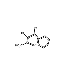 CC(C)c1c(O)c(C(=O)O)cc2ccccc12